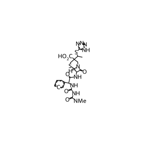 CNC(=O)NC(=O)NC(C(=O)NC1C(=O)N2CC(C(=O)O)(C(C)Sc3nnn[nH]3)CS[C@H]12)c1ccccc1